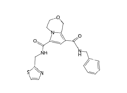 O=C(NCc1ccccc1)c1cc(C(=O)NCc2nccs2)n2c1COCC2